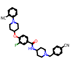 N#Cc1ccc(CN2CCC(NC(=O)c3ccc(OC4CCN(c5ccccc5C#N)CC4)c(F)c3)CC2)cc1